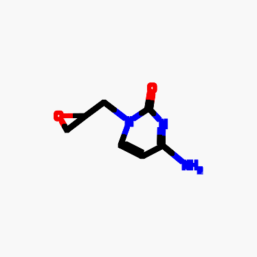 Nc1ccn(CC2CO2)c(=O)n1